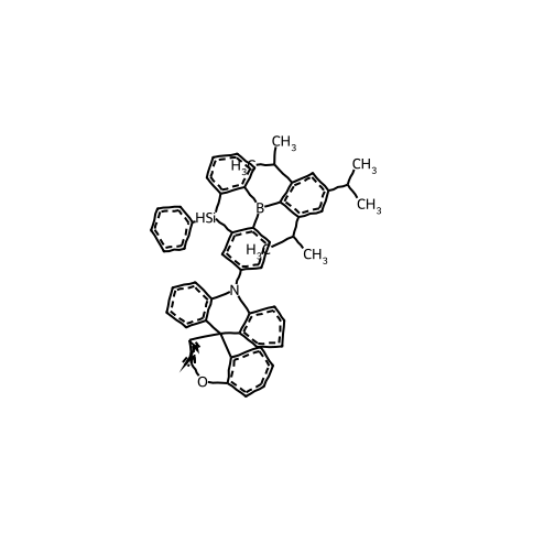 CC(C)c1cc(C(C)C)c(B2c3ccccc3[SiH](c3ccccc3)c3cc(N4c5ccccc5C5(c6ccccc6Oc6ccccc65)c5ccccc54)ccc32)c(C(C)C)c1